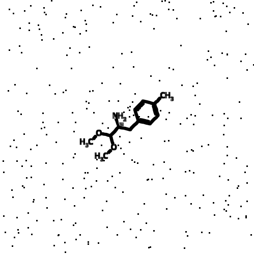 COC(OC)[C@@H](N)Cc1ccc(C)cc1